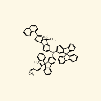 C=C(/C=C\C=C/C)C1(c2ccccc2)c2ccccc2-c2ccc(N(c3ccc4c(c3)C(C)(C)c3cc(-c5cccc6ccccc56)ccc3-4)c3ccc4c(c3)C3(c5ccccc5-c5ccccc53)c3ccccc3-4)cc21